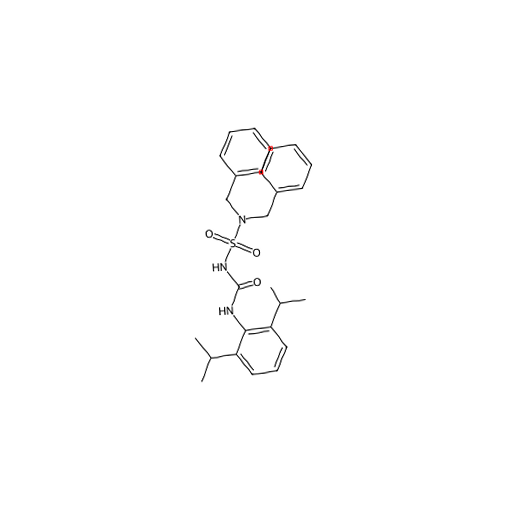 CC(C)c1cccc(C(C)C)c1NC(=O)NS(=O)(=O)N(Cc1ccccc1)Cc1ccccc1